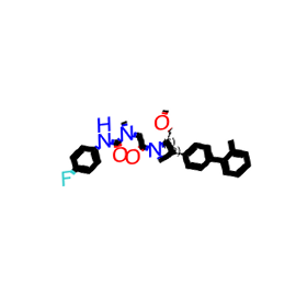 COC[C@@H]1[C@H](c2ccc(-c3ccccc3C)cc2)CN1C(=O)CN(C)C(=O)Nc1ccc(F)cc1